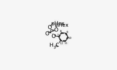 CCCCCCOP(=O)(OCCCCCC)Oc1ccccc1C